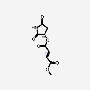 COC(=O)/C=C/C(=O)O[C@@H]1CC(=O)NC1=O